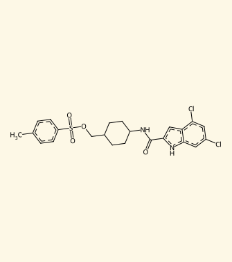 Cc1ccc(S(=O)(=O)OCC2CCC(NC(=O)c3cc4c(Cl)cc(Cl)cc4[nH]3)CC2)cc1